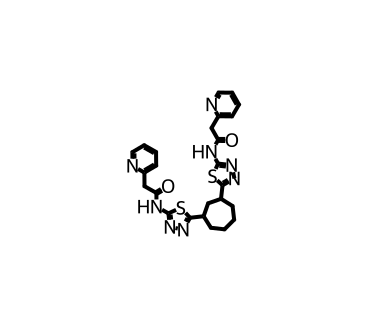 O=C(Cc1ccccn1)Nc1nnc(C2CCCCC(c3nnc(NC(=O)Cc4ccccn4)s3)C2)s1